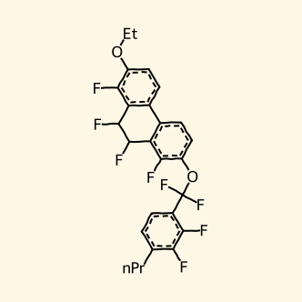 CCCc1ccc(C(F)(F)Oc2ccc3c(c2F)C(F)C(F)c2c-3ccc(OCC)c2F)c(F)c1F